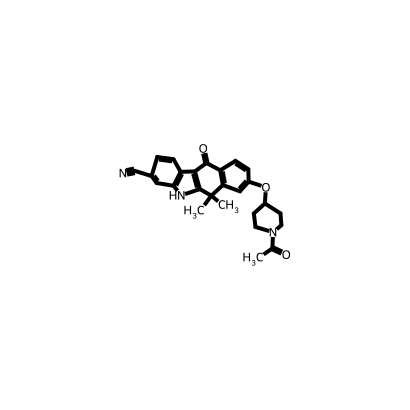 CC(=O)N1CCC(Oc2ccc3c(c2)C(C)(C)c2[nH]c4cc(C#N)ccc4c2C3=O)CC1